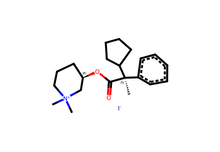 C[C@@](C(=O)O[C@@H]1CCC[N+](C)(C)C1)(c1ccccc1)C1CCCC1.[I-]